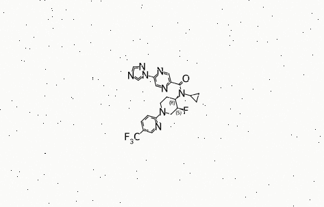 O=C(c1cnc(-n2cncn2)cn1)N(C1CC1)[C@@H]1CCN(c2ccc(C(F)(F)F)cn2)C[C@@H]1F